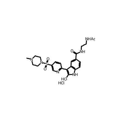 CC(=O)NCCNC(=O)c1ccc2[nH]c(O)c(-c3ccc(S(=O)(=O)N4CCN(C)CC4)cn3)c2c1.Cl